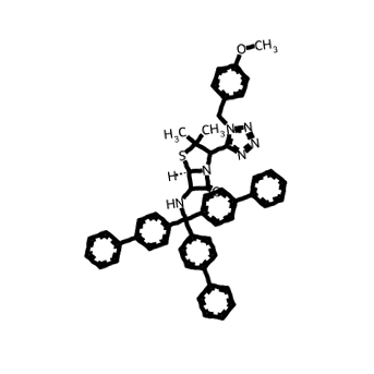 COc1ccc(Cn2nnnc2C2N3C(=O)C(NC(c4ccc(-c5ccccc5)cc4)(c4ccc(-c5ccccc5)cc4)c4ccc(-c5ccccc5)cc4)[C@H]3SC2(C)C)cc1